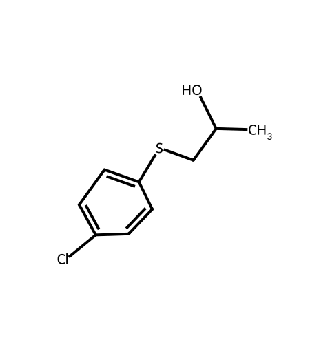 CC(O)CSc1ccc(Cl)cc1